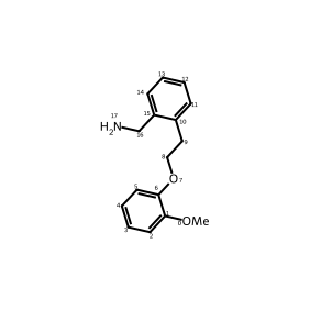 COc1ccccc1OCCc1ccccc1CN